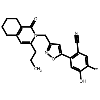 CCCc1cc2c(c(=O)n1Cc1cc(-c3cc(O)c(F)cc3C#N)on1)CCCC2